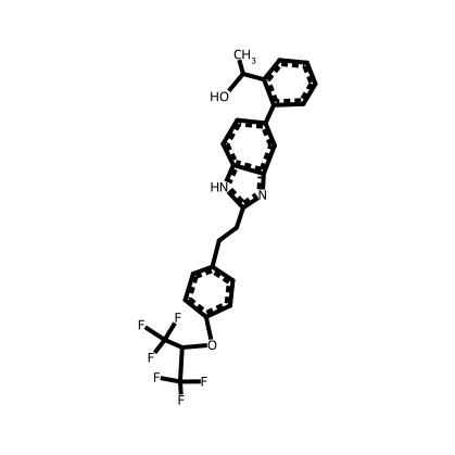 CC(O)c1ccccc1-c1ccc2[nH]c(CCc3ccc(OC(C(F)(F)F)C(F)(F)F)cc3)nc2c1